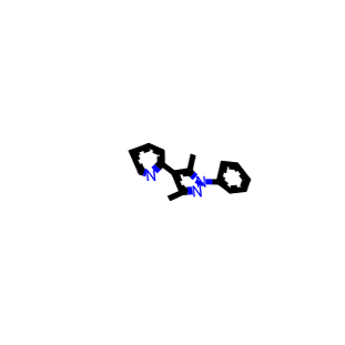 Cc1nn(-c2ccccc2)c(C)c1-c1ccccn1